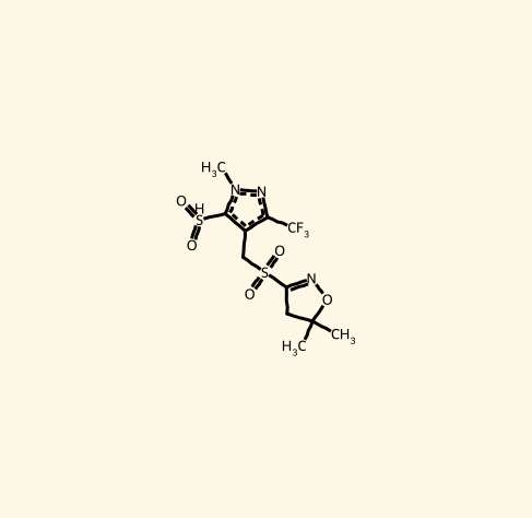 Cn1nc(C(F)(F)F)c(CS(=O)(=O)C2=NOC(C)(C)C2)c1[SH](=O)=O